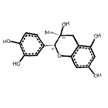 CC(=O)[C@]1(O)Cc2c(O)cc(O)cc2O[C@@H]1c1ccc(O)c(O)c1